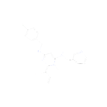 B/C(C=C)=C1\N=C(NCc2ccc(Cl)cc2)C=C(NCc2cccnc2)N1C